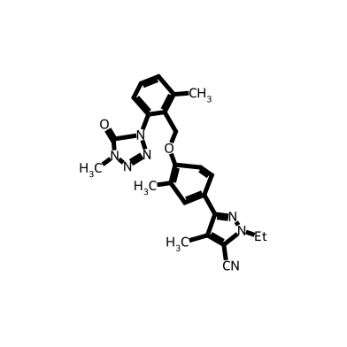 CCn1nc(-c2ccc(OCc3c(C)cccc3-n3nnn(C)c3=O)c(C)c2)c(C)c1C#N